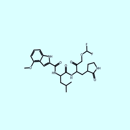 COc1cccc2[nH]c(C(=O)NC(CC(C)C)C(=O)NC(CC3CCNC3=O)C(=O)COC(F)F)cc12